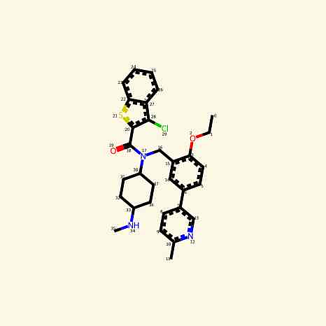 CCOc1ccc(-c2ccc(C)nc2)cc1CN(C(=O)c1sc2ccccc2c1Cl)C1CCC(NC)CC1